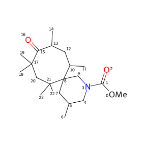 COC(=O)N1CC(C)CC2(C1)C(C)CC(C)C(=O)C(C)(C)CC2(C)C